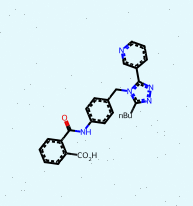 CCCCc1nnc(-c2cccnc2)n1Cc1ccc(NC(=O)c2ccccc2C(=O)O)cc1